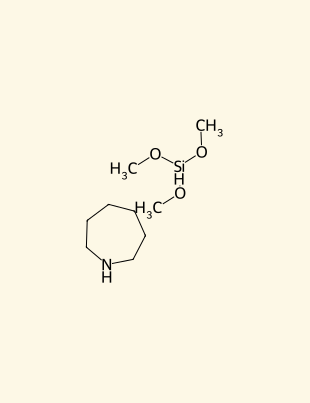 C1CCCNCC1.CO[SiH](OC)OC